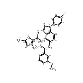 COc1cccc([C@@H](Oc2ccc3c(cnn3-c3ccc(F)cc3)c2)[C@H](C)NC(=O)c2nnc(C)o2)c1